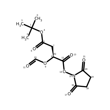 CC(C)(C)OC(=O)C[C@H](OC=O)C(=O)ON1C(=O)CCC1=O